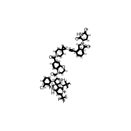 CC(C)(C)C[C@@H]1N[C@@H](C(=O)N2CCOc3cc(C(=O)N4CCC5(CC4)C[C@@H]5C#Cc4cccc5c4CN([C@H]4CCC(=O)NC4=O)C5=O)ccc32)[C@H](c2cccc(Cl)c2F)[C@]12CNc1cc(C(F)(F)F)ncc12